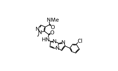 CNC(=O)c1cnn(C)c1C(=O)Nc1ccn2cc(-c3cccc(Cl)c3)nc2n1